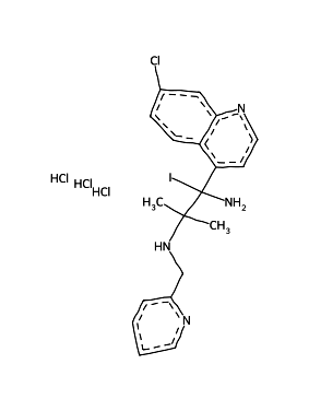 CC(C)(NCc1ccccn1)C(N)(I)c1ccnc2cc(Cl)ccc12.Cl.Cl.Cl